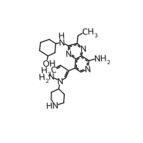 C=C/C(=C\N(N)C1CCNCC1)c1cnc(N)c2nc(CC)c(NC3CCCC(O)C3)nc12